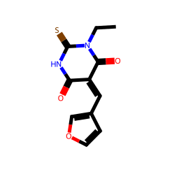 CCN1C(=O)C(=Cc2ccoc2)C(=O)NC1=S